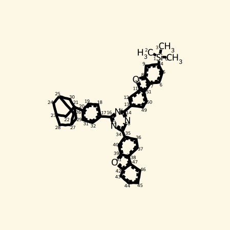 C[Si](C)(C)c1ccc2c(c1)oc1cc(-c3nc(-c4ccc(C56CC7CC(CC(C7)C5)C6)cc4)nc(-c4ccc5c(c4)oc4ccccc45)n3)ccc12